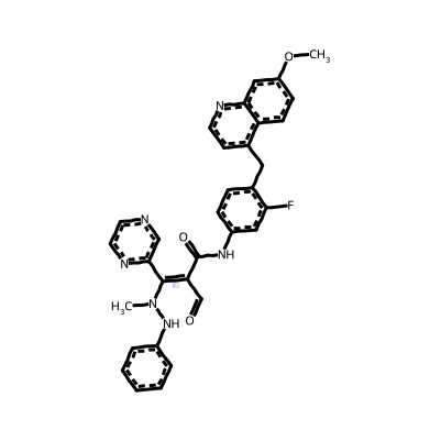 COc1ccc2c(Cc3ccc(NC(=O)/C(C=O)=C(\c4cnccn4)N(C)Nc4ccccc4)cc3F)ccnc2c1